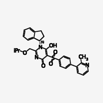 Cc1ncccc1-c1ccc(S(=O)(=O)c2c(O)n([C@H]3CCc4ccccc43)c(COC(C)C)nc2=O)cc1